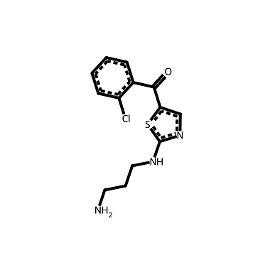 NCCCNc1ncc(C(=O)c2ccccc2Cl)s1